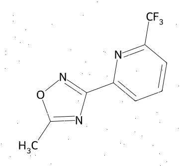 Cc1nc(-c2cccc(C(F)(F)F)n2)no1